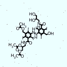 CC(=O)OCc1c(I)c(NNc2c(I)c(CO)c(I)c(C(=O)NCC(O)CO)c2I)c(I)c(C(=O)NCC(COC(C)=O)OC(C)=O)c1I